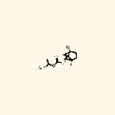 CC(=O)OC(C)OC(=O)O[C@@H]1C[C@@H]2CC[C@@]1(C)C2(C)C